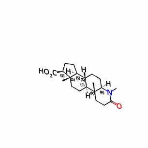 CN1C(=O)CC[C@]2(C)[C@H]3CC[C@]4(C)[C@@H](C(=O)O)CC[C@H]4[C@@H]3CC[C@@H]12